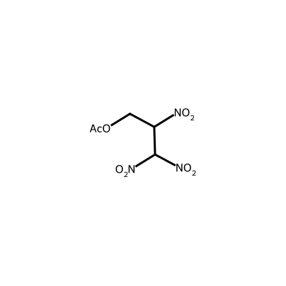 CC(=O)OCC(C([N+](=O)[O-])[N+](=O)[O-])[N+](=O)[O-]